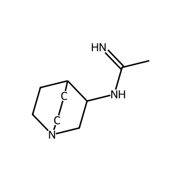 CC(=N)NC1CN2CCC1CC2